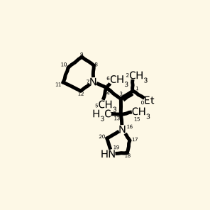 CCC(C)=C(C(C)(C)N1CCCCC1)C(C)(C)N1CCNC1